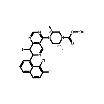 C[C@@H]1CN(c2ncnc3c2C=NC(c2cccc4ccc(F)c(Cl)c24)C3F)[C@@H](C)CN1C(=O)OC(C)(C)C